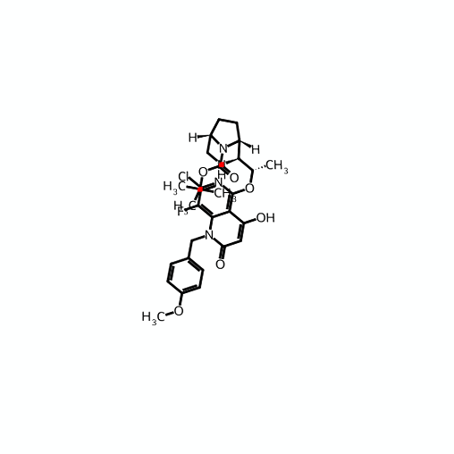 COc1ccc(Cn2c(=O)cc(O)c3c(O[C@@H](C)[C@H]4NC[C@@H]5CC[C@H]4N5C(=O)OC(C)(C)C)nc(Cl)c(F)c32)cc1